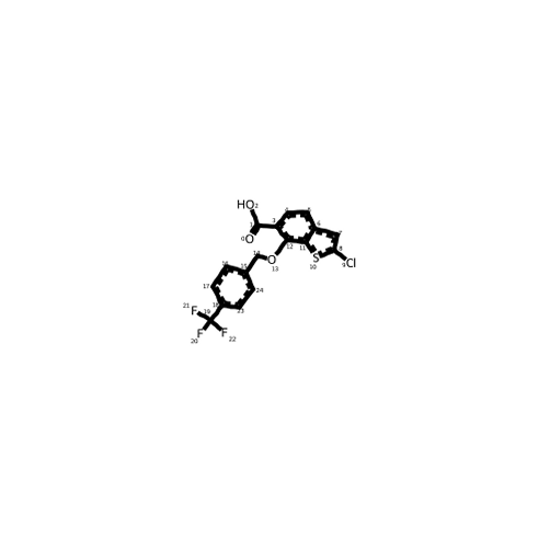 O=C(O)c1ccc2cc(Cl)sc2c1OCc1ccc(C(F)(F)F)cc1